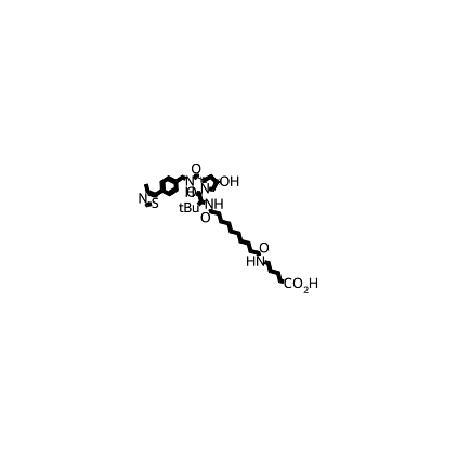 Cc1ncsc1-c1ccc(CNC(=O)[C@@H]2C[C@@H](O)CN2C(=O)C(NC(=O)CCCCCCCCC(=O)NCCCCC(=O)O)C(C)(C)C)cc1